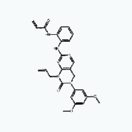 C=CCN1C(=O)N(c2cc(OC)cc(OC)c2)Cc2cnc(Nc3ccccc3NC(=O)C=C)nc21